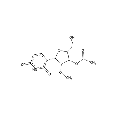 COC1C(OC(C)=O)[C@@H](CO)O[C@H]1n1ccc(=O)[nH]c1=O